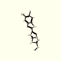 CSc1nn2cc(-c3cc4cc(Cl)c(C)cc4o3)nc2s1